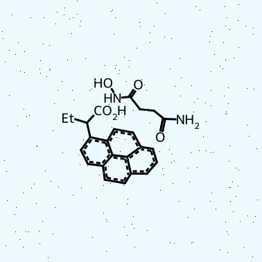 CCC(C(=O)O)c1ccc2ccc3cccc4ccc1c2c34.NC(=O)CCC(=O)NO